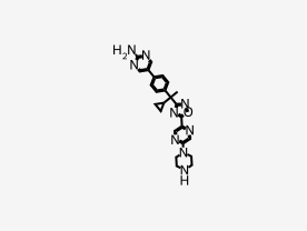 CC(c1ccc(-c2cnc(N)nc2)cc1)(c1noc(-c2cnc(N3CCNCC3)cn2)n1)C1CC1